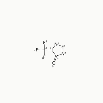 O=C1N=[C][N]C1C(F)(F)F